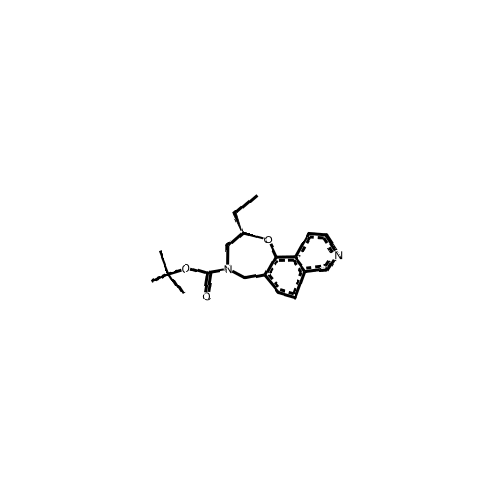 CC[C@@H]1CN(C(=O)OC(C)(C)C)Cc2ccc3cnccc3c2O1